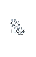 CC(C[SiH](Cl)Cl)c1ccc2ccccc2c1